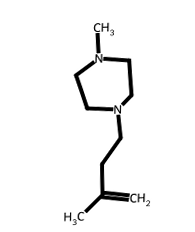 C=C(C)CCN1CCN(C)CC1